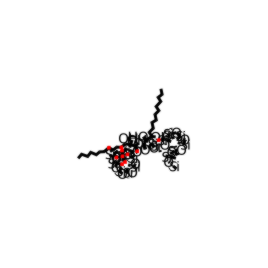 CCCCCCCCCCCC(O)C(O)(C(=O)OC(=O)C(O)(C(O)CCCCCCCCCCC)[Si](C)(C)O[Si](C)(C)O[Si](C)(C)O[Si](C)(C)O[Si](C)(C)O[Si](C)(C)O[Si](C)(C)O[Si](C)(C)O[Si](C)(C)C)[Si](C)(C)O[Si](C)(C)O[Si](C)(C)O[Si](C)(C)O[Si](C)(C)O[Si](C)(C)O[Si](C)(C)O[Si](C)(C)O[Si](C)(C)C